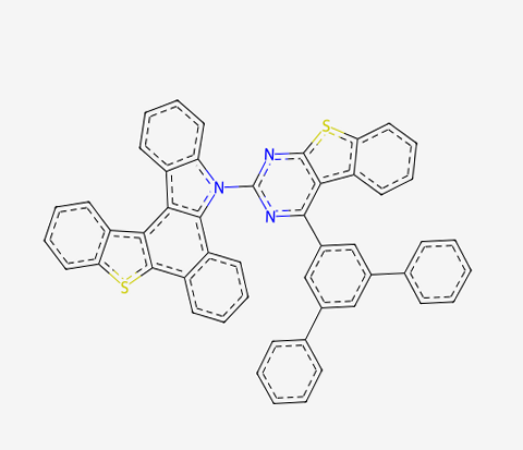 c1ccc(-c2cc(-c3ccccc3)cc(-c3nc(-n4c5ccccc5c5c6c7ccccc7sc6c6ccccc6c54)nc4sc5ccccc5c34)c2)cc1